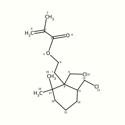 C=C(C)C(=O)OCCC1(CCl)C(CCl)CCCC1(C)C